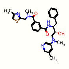 Cc1cncc(N(C)C[C@@H](O)[C@H](Cc2ccccc2)NC(=O)c2cccc(C(=O)N(C)Cc3nc(C)cs3)c2)c1